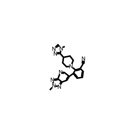 Cn1nc2cc(-c3cccc(C#N)c3N3CCC(c4nncn4C)CC3)cnc2n1